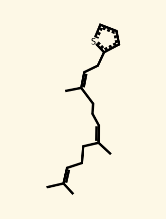 CC(C)=CCCC(C)=CCCC(C)=CCc1cccs1